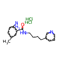 Cc1ccc(N)c(C(=O)NCCCCc2cccnc2)c1.Cl.Cl